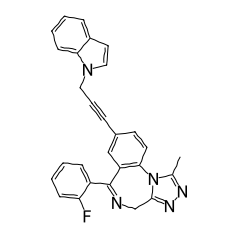 Cc1nnc2n1-c1ccc(C#CCn3ccc4ccccc43)cc1C(c1ccccc1F)=NC2